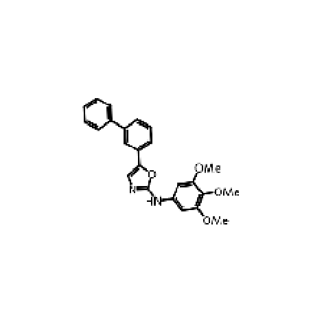 COc1cc(Nc2ncc(-c3cccc(-c4ccccc4)c3)o2)cc(OC)c1OC